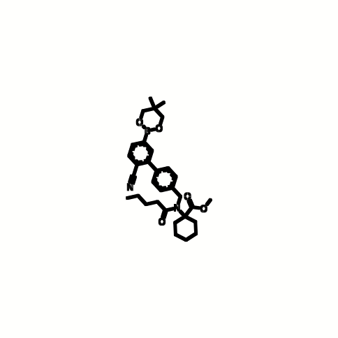 CCCCC(=O)N(Cc1ccc(-c2cc(B3OCC(C)(C)CO3)ccc2C#N)cc1)C1(C(=O)OC)CCCCC1